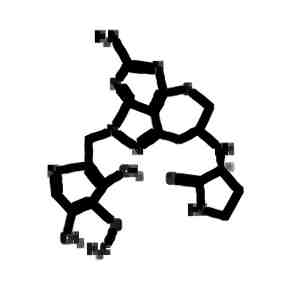 COc1c(C)cnc(Cn2nc3c4c(nc(N)nc42)SCC(N[C@H]2CCNC2=O)C3)c1C